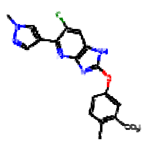 Cc1ccc(Oc2nc3nc(-c4cnn(C)c4)c(Cl)cc3[nH]2)cc1C(=O)O